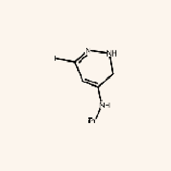 CC(C)NC1=CC(I)=NNC1